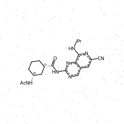 CC(=O)N[C@@H]1CCC[C@H](C(=O)Nc2ncc3cc(C#N)nc(NC(C)C)c3n2)C1